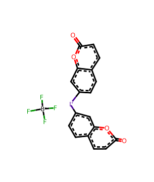 F[B-](F)(F)F.O=c1ccc2ccc([I+]c3ccc4ccc(=O)oc4c3)cc2o1